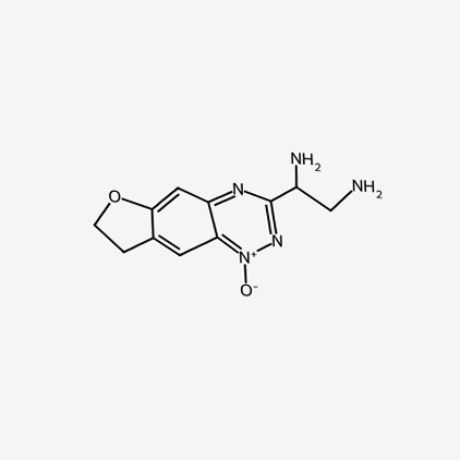 NCC(N)c1nc2cc3c(cc2[n+]([O-])n1)CCO3